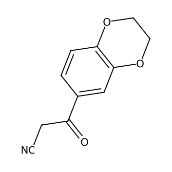 N#CCC(=O)c1ccc2c(c1)OCCO2